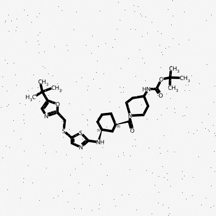 CC(C)(C)OC(=O)NC1CCN(C(=O)[C@@H]2CCC[C@H](Nc3ncc(SCc4ncc(C(C)(C)C)o4)s3)C2)CC1